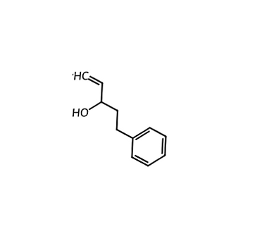 [CH]=CC(O)CCc1ccccc1